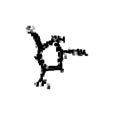 CCCCc1cc(C(F)(F)F)cc(=S)[nH]1